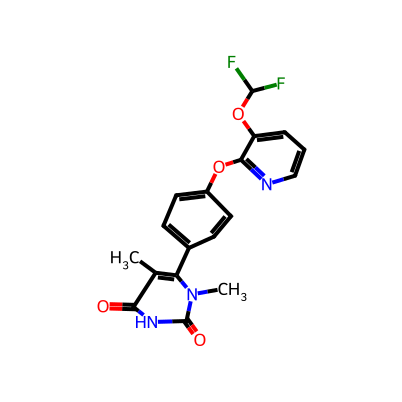 Cc1c(-c2ccc(Oc3ncccc3OC(F)F)cc2)n(C)c(=O)[nH]c1=O